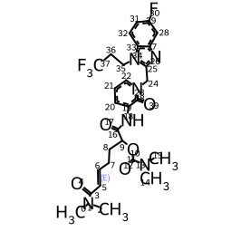 CN(C)C(=O)/C=C/CCC(OC(=O)N(C)C)C(=O)Nc1cccn(Cc2nc3cc(F)ccc3n2CCC(F)(F)F)c1=O